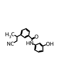 CC(CC#N)c1cccc(C(=O)Nc2cccc(O)c2)c1